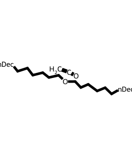 C=C=O.CCCCCCCCCCCCCCCCOCCCCCCCCCCCCCCCC